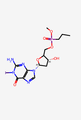 CCCP(=O)(OC)OCC1O[C@@H](n2cnc3c(=O)n(I)c(N)nc32)C[C@H]1O